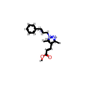 COC(=O)C=Cc1c(C)nn(C/C=C/c2ccccc2)c1C